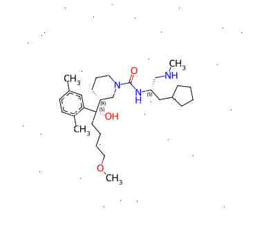 CNC[C@H](CC1CCCC1)NC(=O)N1CCC[C@@H]([C@@](O)(CCCCOC)c2cc(C)ccc2C)C1